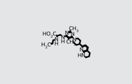 C=CCNC(CNc1nc(C)nc(N2CCC(c3ccc4c(n3)NCCC4)CC2)c1C)C(=O)O